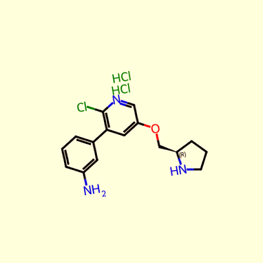 Cl.Cl.Nc1cccc(-c2cc(OC[C@H]3CCCN3)cnc2Cl)c1